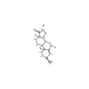 CC1CC2C3C[C@@H](F)C(=O)C3(C)CCC2C2(C)CCC(=N)C=C12